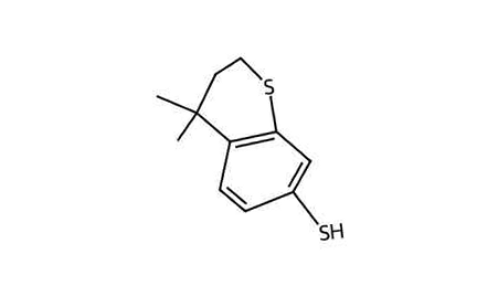 CC1(C)CCSc2cc(S)ccc21